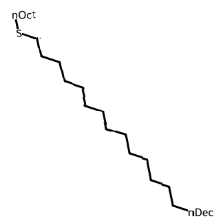 CCCCCCCCCCCCCCCCCCCCCCC[CH]SCCCCCCCC